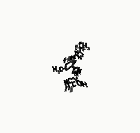 Cc1cc(Nc2nccc(C(C)(F)F)n2)cc(-c2cnn(C[C@@](C)(O)CC#N)c2)c1